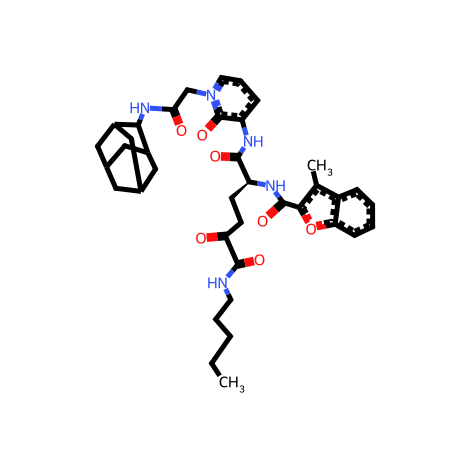 CCCCCNC(=O)C(=O)CC[C@H](NC(=O)c1oc2ccccc2c1C)C(=O)Nc1cccn(CC(=O)NC2C3CC4CC(C3)CC2C4)c1=O